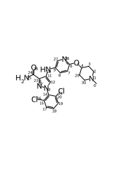 CN1CCC(Oc2ccc(Nc3cn(-c4c(Cl)cccc4Cl)nc3C(N)=O)cn2)CC1